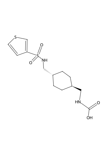 O=C(O)NC[C@H]1CC[C@H](CNS(=O)(=O)c2ccsc2)CC1